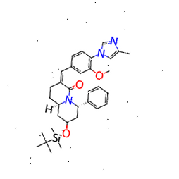 COc1cc(C=C2CC[C@@H]3C[C@H](O[Si](C)(C)C(C)(C)C)C[C@@H](c4ccccc4)N3C2=O)ccc1-n1cnc(C)c1